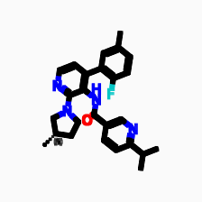 Cc1ccc(F)c(-c2ccnc(N3CC[C@H](C)C3)c2NC(=O)c2ccc(C(C)C)nc2)c1